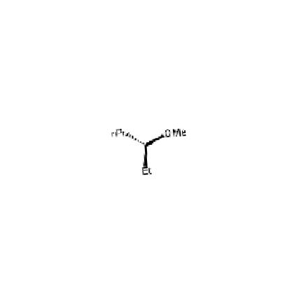 CCC[C@@H](CC)OC